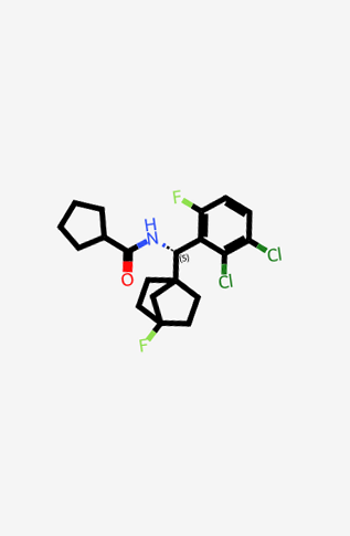 O=C(N[C@H](c1c(F)ccc(Cl)c1Cl)C12CCC(F)(CC1)C2)C1CCCC1